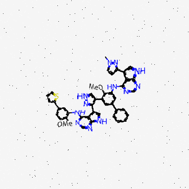 COc1ccc(-c2cccs2)cc1Nc1ncnc2[nH]cc(-c3n[nH]cc3-c3cc(-c4ccccc4)cc(Nc4ncnc5[nH]cc(-c6ccn(C)n6)c45)c3OC)c12